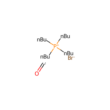 CCCC[P+](CCCC)(CCCC)CCCC.[Br-].[C]=O